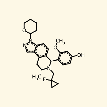 COc1cc(O)ccc1[C@@H]1c2ccc3c(cnn3C3CCCCO3)c2C[C@@H](C)N1CC1(F)CC1